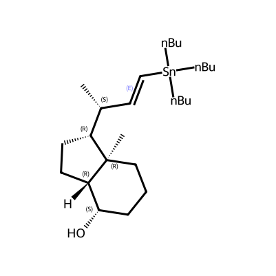 CCC[CH2][Sn](/[CH]=C/[C@@H](C)[C@H]1CC[C@H]2[C@@H](O)CCC[C@]12C)([CH2]CCC)[CH2]CCC